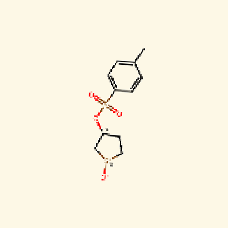 Cc1ccc(S(=O)(=O)O[C@H]2CC[S@@+]([O-])C2)cc1